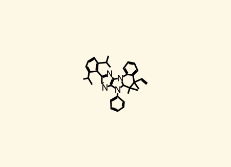 C=CC1(C)c2ccccc2N2c3nc(-c4c(C(C)C)cccc4C(C)C)cnc3N(c3ccccc3)C2C1(C)C